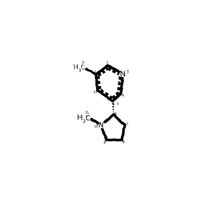 Cc1cncc([C@@H]2CCCN2C)c1